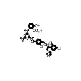 CN(C)c1nc(N(C)C)nc(N(C)C)n1.Clc1ccc(CO/N=C(\Cn2ccnc2)c2ccc(Cl)cc2Cl)c(Cl)c1.O=C(O)c1ccccc1O